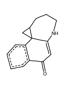 O=C1C=C2NCCCC3CC23c2ccccc21